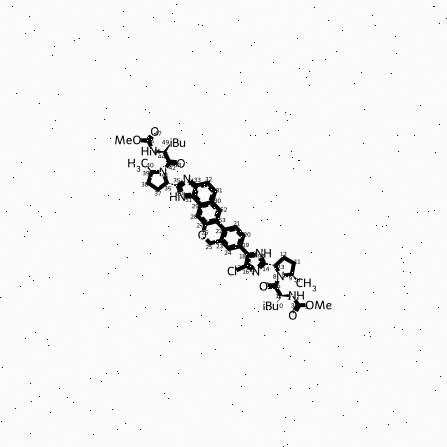 CC[C@@H](C)[C@H](NC(=O)OC)C(=O)N1[C@@H](C)CC[C@H]1c1nc(Cl)c(-c2ccc3c(c2)COc2cc4c(ccc5nc([C@@H]6CC[C@H](C)N6C(=O)[C@@H](NC(=O)OC)[C@H](C)CC)[nH]c54)cc2-3)[nH]1